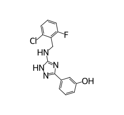 Oc1cccc(-c2n[nH]c(NCc3c(F)cccc3Cl)n2)c1